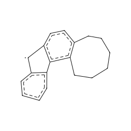 [CH]1c2ccccc2-c2c1ccc1c2CCCCCC1